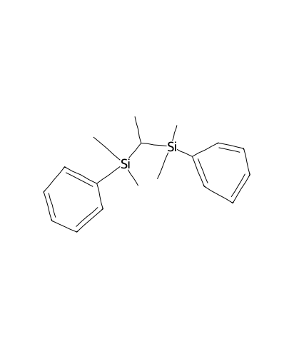 CC([Si](C)(C)c1ccccc1)[Si](C)(C)c1ccccc1